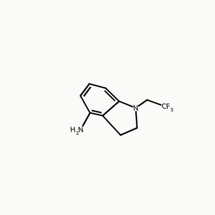 Nc1cccc2c1CCN2CC(F)(F)F